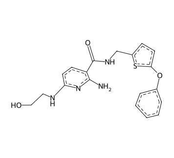 Nc1nc(NCCO)ccc1C(=O)NCc1ccc(Oc2ccccc2)s1